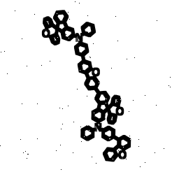 c1ccc(N(c2ccc(-c3ccc4c(c3)oc3cc(-c5ccc6c(c5)-c5ccc(N(c7ccccc7)c7ccc(-c8cccc9oc%10ccccc%10c89)cc7)cc5C65c6ccccc6Oc6ccccc65)ccc34)cc2)c2ccc3c(c2)-c2ccccc2C32c3ccccc3Oc3ccccc32)cc1